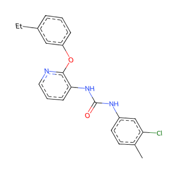 CCc1cccc(Oc2ncccc2NC(=O)Nc2ccc(C)c(Cl)c2)c1